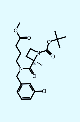 COC(=O)CCCN(Cc1cccc(Cl)c1)C(=O)[C@@]1(C)CCN1C(=O)OC(C)(C)C